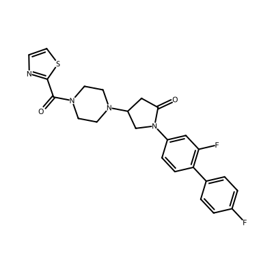 O=C(c1nccs1)N1CCN(C2CC(=O)N(c3ccc(-c4ccc(F)cc4)c(F)c3)C2)CC1